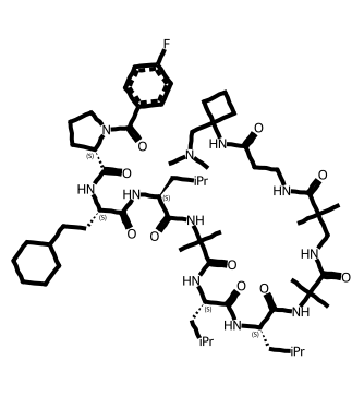 CC(C)C[C@H](NC(=O)[C@H](CC(C)C)NC(=O)C(C)(C)NC(=O)[C@H](CC(C)C)NC(=O)[C@H](CCC1CCCCC1)NC(=O)[C@@H]1CCCN1C(=O)c1ccc(F)cc1)C(=O)NC(C)(C)C(=O)NCC(C)(C)C(=O)NCCC(=O)NC1(CN(C)C)CCC1